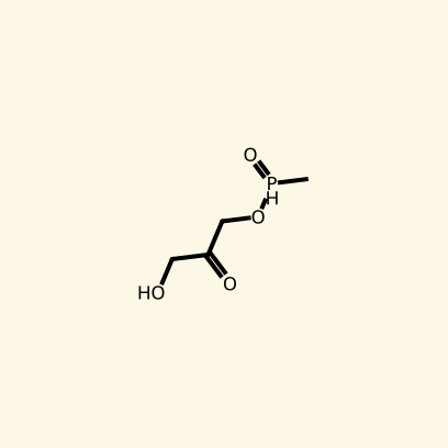 C[PH](=O)OCC(=O)CO